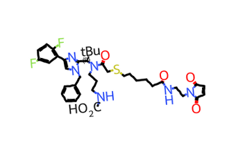 CC(C)(C)[C@H](c1nc(-c2cc(F)ccc2F)cn1Cc1ccccc1)N(CCCNC(=O)O)C(=O)CSCCCCCC(=O)NCCN1C(=O)C=CC1=O